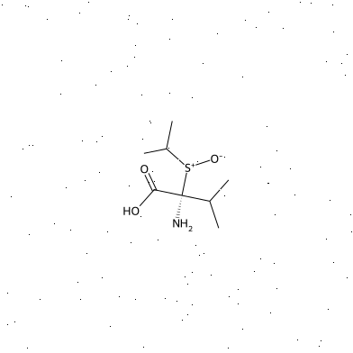 CC(C)[S+]([O-])[C@](N)(C(=O)O)C(C)C